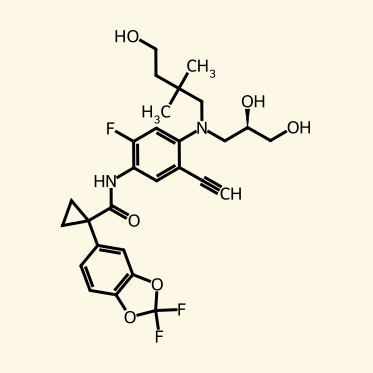 C#Cc1cc(NC(=O)C2(c3ccc4c(c3)OC(F)(F)O4)CC2)c(F)cc1N(C[C@@H](O)CO)CC(C)(C)CCO